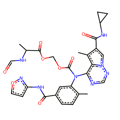 Cc1ccc(C(=O)Nc2ccon2)cc1N(C(=O)OCOC(=O)C(C)NC=O)c1ncnn2cc(C(=O)NC3CC3)c(C)c12